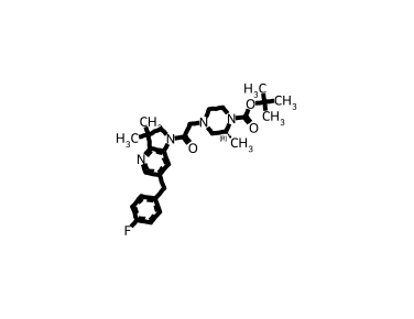 C[C@@H]1CN(CC(=O)N2CC(C)(C)c3ncc(Cc4ccc(F)cc4)cc32)CCN1C(=O)OC(C)(C)C